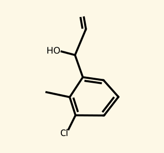 C=CC(O)c1cccc(Cl)c1C